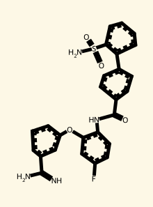 N=C(N)c1cccc(Oc2cc(F)ccc2NC(=O)c2ccc(-c3ccccc3S(N)(=O)=O)cc2)c1